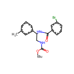 Cc1cccc(C(CNC(=O)OC(C)(C)C)NC(=O)c2cccc(Br)c2)c1